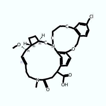 CO[C@H]1/C=C/CCN(C)C(=O)CC(C(=O)O)c2ccc3c(c2)N(CCCCc2cc(Cl)ccc2CO3)C[C@@H]2CC[C@H]21